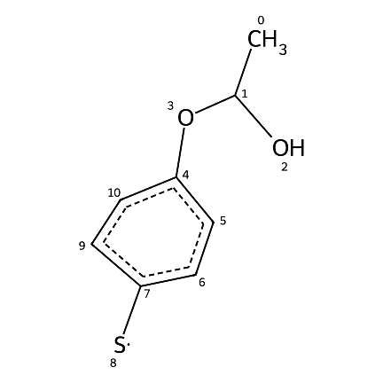 CC(O)Oc1ccc([S])cc1